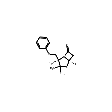 CC1(C)S[C@@H]2CC(=O)N2[C@]1(C)COc1ccccc1